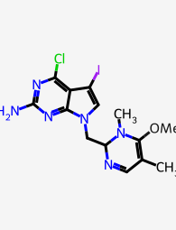 COC1=C(C)C=NC(Cn2cc(I)c3c(Cl)nc(N)nc32)N1C